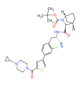 CC(C)(C)OC(=O)N1[C@@H]2CC[C@@H](C2)[C@H]1C(=O)N[C@H](C#N)Cc1ccc(-c2csc(C(=O)N3CCN(C4CC4)CC3)c2)cc1F